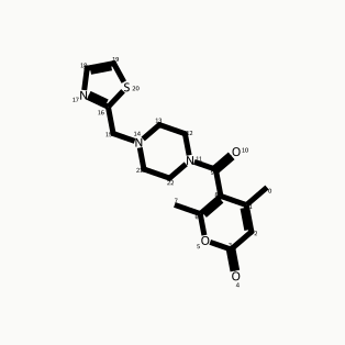 Cc1cc(=O)oc(C)c1C(=O)N1CCN(Cc2nccs2)CC1